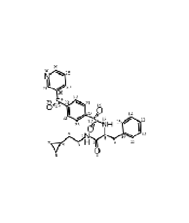 O=C(NCCC1CC1)[C@H](Cc1ccccc1)NS(=O)(=O)c1ccc([S+]([O-])c2cccnc2)cc1